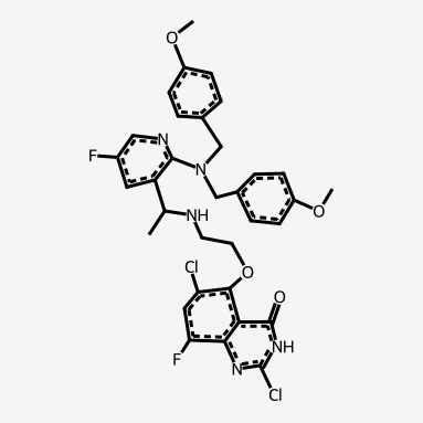 COc1ccc(CN(Cc2ccc(OC)cc2)c2ncc(F)cc2C(C)NCCOc2c(Cl)cc(F)c3nc(Cl)[nH]c(=O)c23)cc1